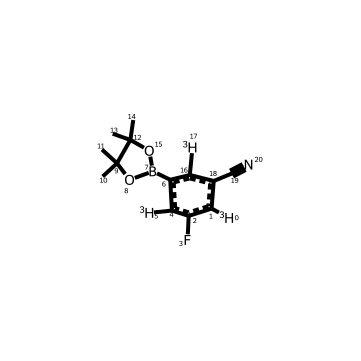 [3H]c1c(F)c([3H])c(B2OC(C)(C)C(C)(C)O2)c([3H])c1C#N